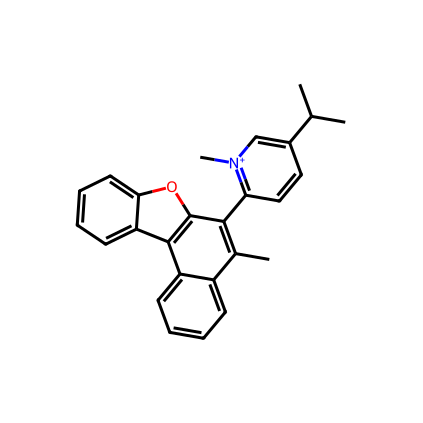 Cc1c(-c2ccc(C(C)C)c[n+]2C)c2oc3ccccc3c2c2ccccc12